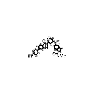 CNC(=O)n1ccc2cc(N(C)c3ccnc(NC(=O)c4ccc(C5CCN(C(C)C)CC5)cc4)c3)ccc21